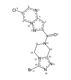 O=C(c1cc2ncc(Cl)cn2n1)N1CCn2c(Br)nnc2C1